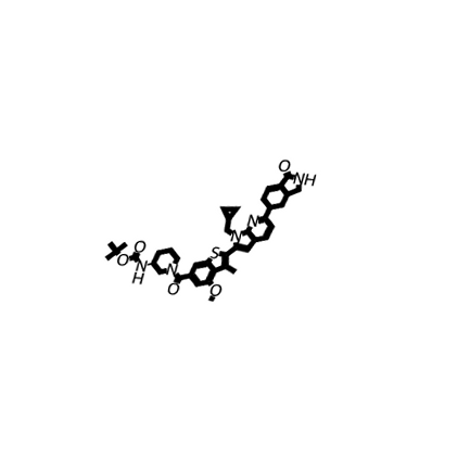 COc1cc(C(=O)N2CCC[C@@H](NC(=O)OC(C)(C)C)C2)cc2sc(C3=CC4C=CC(C5CC=C6C(=O)NCC6C5)=NC4N3CC3CC3)c(C)c12